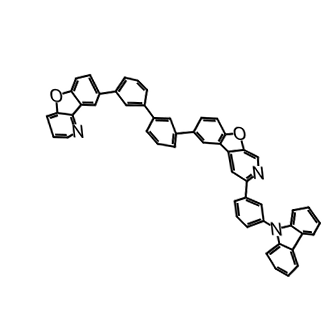 c1cc(-c2cccc(-c3ccc4oc5cccnc5c4c3)c2)cc(-c2ccc3oc4cnc(-c5cccc(-n6c7ccccc7c7ccccc76)c5)cc4c3c2)c1